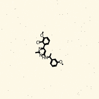 COc1cccc(C(C)Nc2cc(-c3cccc(OC)c3Cl)nc(C)n2)c1